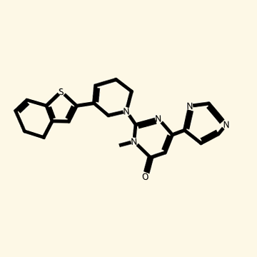 Cn1c(N2CCC=C(c3cc4c(s3)C=CCC4)C2)nc(-c2ccncn2)cc1=O